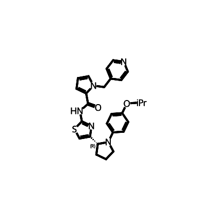 CC(C)Oc1ccc(N2CCC[C@@H]2c2csc(NC(=O)c3cccn3Cc3ccncc3)n2)cc1